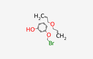 C=CCOCC=C.Oc1cccc(OCBr)c1